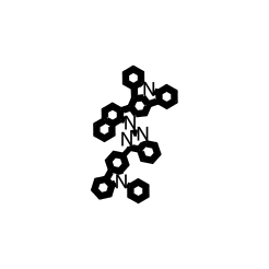 c1ccc(-n2c3ccccc3c3ccc(-c4nc(-n5c6cc7c8ccccc8n8c9ccccc9c(c6c6ccc9ccccc9c65)c78)nc5ccccc45)cc32)cc1